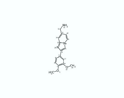 COc1ccc(-c2cn3ccc(CN)cc3n2)cc1OC